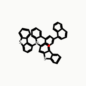 c1cc(-c2ccccc2N(c2ccc3c(c2)sc2ccccc23)c2cccc3sc4ccccc4c23)cc(-c2cccc3ccccc23)c1